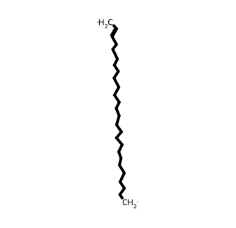 [CH2]/C=C/CCCCCCCCCCCCCCCCCCCCCC[CH2]